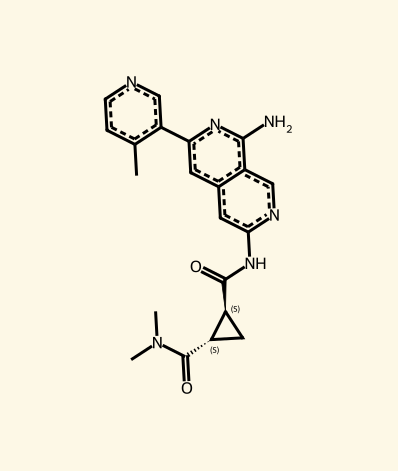 Cc1ccncc1-c1cc2cc(NC(=O)[C@H]3C[C@@H]3C(=O)N(C)C)ncc2c(N)n1